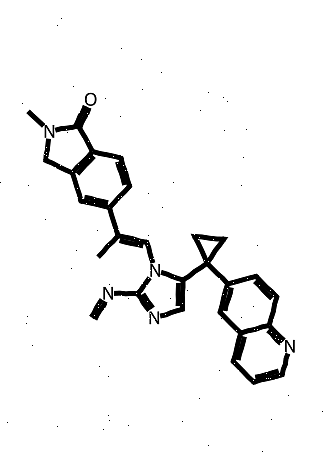 C=Nc1ncc(C2(c3ccc4ncccc4c3)CC2)n1/C=C(\C)c1ccc2c(c1)CN(C)C2=O